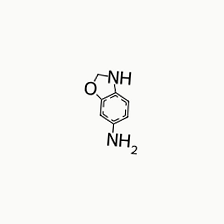 Nc1ccc2c(c1)OCN2